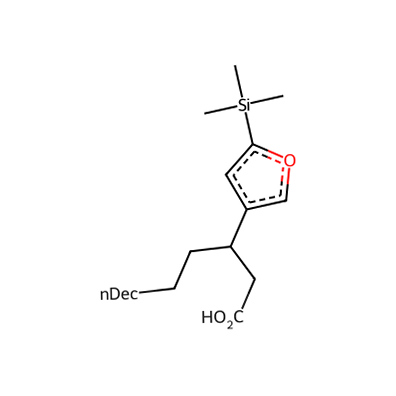 CCCCCCCCCCCCC(CC(=O)O)c1coc([Si](C)(C)C)c1